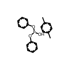 Cc1ccc(C)cc1.OP(Oc1ccccc1)Oc1ccccc1